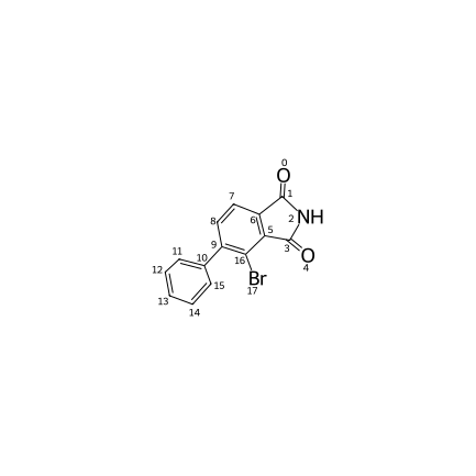 O=C1NC(=O)c2c1ccc(-c1ccccc1)c2Br